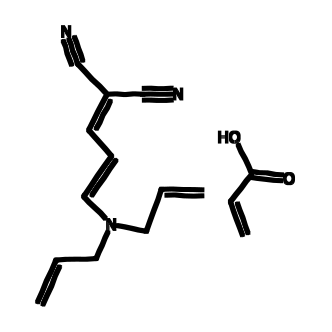 C=CC(=O)O.C=CCN(C=CC=C(C#N)C#N)CC=C